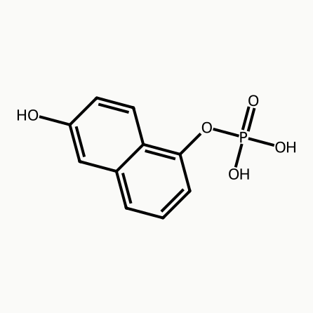 O=P(O)(O)Oc1cccc2cc(O)ccc12